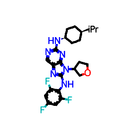 CC(C)[C@H]1CC[C@H](Nc2ncc3nc(Nc4c(F)cc(F)cc4F)n(C4CCOC4)c3n2)CC1